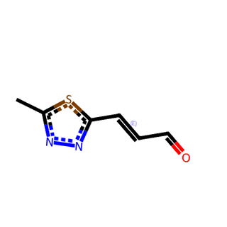 Cc1nnc(/C=C/C=O)s1